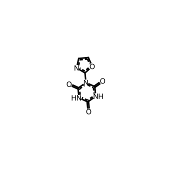 O=c1[nH]c(=O)n(-c2ncco2)c(=O)[nH]1